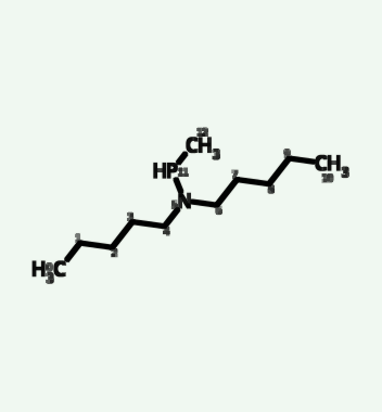 CCCCCN(CCCCC)PC